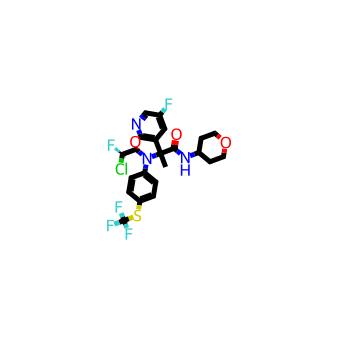 CC(C(=O)NC1CCOCC1)(c1cncc(F)c1)N(C(=O)[C@H](F)Cl)c1ccc(SC(F)(F)F)cc1